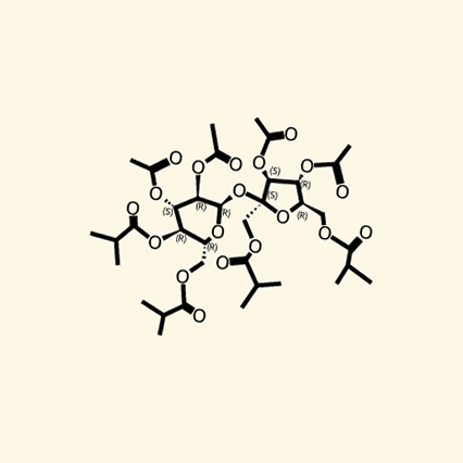 CC(=O)O[C@@H]1[C@@H](OC(C)=O)[C@@H](O[C@]2(COC(=O)C(C)C)O[C@H](COC(=O)C(C)C)[C@@H](OC(C)=O)[C@@H]2OC(C)=O)O[C@H](COC(=O)C(C)C)[C@H]1OC(=O)C(C)C